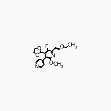 CCO/C=C/c1nc(OC)c(-c2ccncc2)c(C2OCCO2)c1F